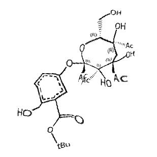 CC(=O)[C@@]1(Oc2ccc(O)c(C(=O)OC(C)(C)C)c2)O[C@H](CO)[C@](O)(C(C)=O)[C@@](O)(C(C)=O)[C@]1(O)C(C)=O